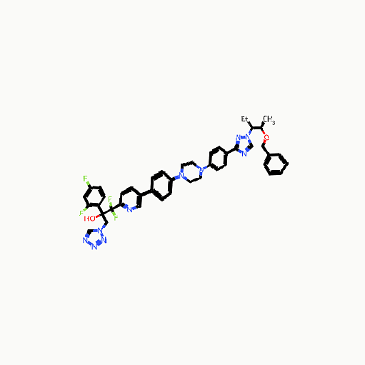 CCC(C(C)OCc1ccccc1)n1cnc(-c2ccc(N3CCN(c4ccc(-c5ccc(C(F)(F)C(O)(Cn6cnnn6)c6ccc(F)cc6F)nc5)cc4)CC3)cc2)n1